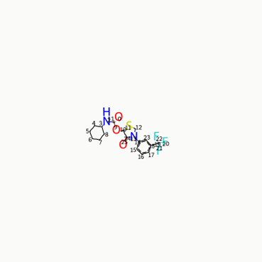 O=C(NC1CCCCC1)OC1SCN(c2cccc(C(F)(F)F)c2)C1=O